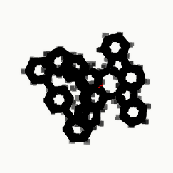 c1ccc(-c2ccc(-c3ccccc3-c3cc(-c4ccccc4)cc(-n4c5ccccc5c5ccc6c7ccccc7n(-c7nc(-c8ccccc8)nc(-c8ccccc8)n7)c6c54)c3)cc2)cc1